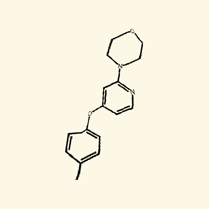 Cc1ccc(Oc2ccnc(N3CCOCC3)c2)cc1